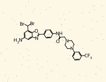 Nc1cc(C(Br)Br)c2oc(-c3ccc(NC(=O)CN4CCN(c5cccc(C(F)(F)F)c5)CC4)cc3)nc2c1